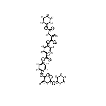 C=C(CC(=O)OC1CCCCC1)C(=O)Oc1ccc(OC(=O)c2ccc(OC(=O)C(=C)CC(=O)OC3CCCCC3)cc2)cc1